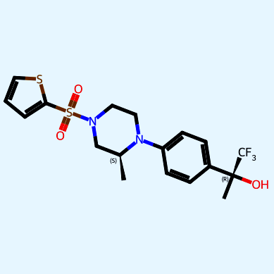 C[C@H]1CN(S(=O)(=O)c2cccs2)CCN1c1ccc([C@@](C)(O)C(F)(F)F)cc1